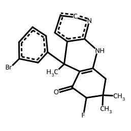 CC1(c2cccc(Br)c2)C2=C(CC(C)(C)C(F)C2=O)Nc2ncccc21